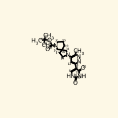 Cc1nnc(-c2c[nH]c(=O)[nH]c2=O)cc1N1CCC2(CCCN(C(=O)OC(C)(C)C)C2)C1